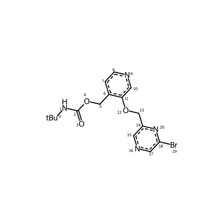 CC(C)(C)NC(=O)OCc1ccncc1OCc1cncc(Br)n1